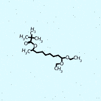 CCOC(CCCCCCC(C)OC(=O)C(C)(C)C)OCC